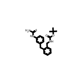 CC(C)(C)OC(=O)NCc1ccccc1Cc1cccc(NC(N)=S)c1